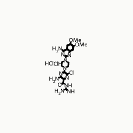 COc1cc2nc(N3CCN(c4nc(N)c(C(=O)NC(=N)N)nc4Cl)CC3)nc(N)c2cc1OC.Cl.Cl